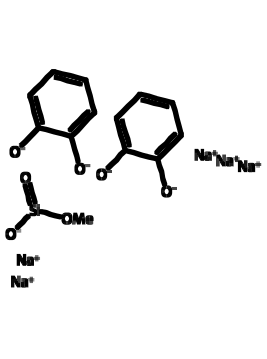 CO[Si](=O)[O-].[Na+].[Na+].[Na+].[Na+].[Na+].[O-]c1ccccc1[O-].[O-]c1ccccc1[O-]